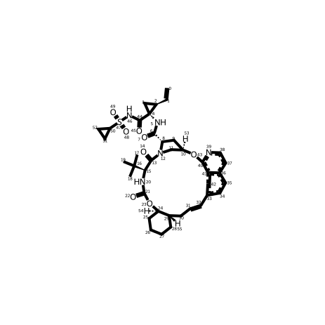 C=C[C@@H]1C[C@]1(NC(=O)[C@@H]1C[C@@H]2CN1C(=O)[C@H](C(C)(C)C)NC(=O)O[C@@H]1CCCC[C@H]1C/C=C/c1ccc3ccnc(c3c1)O2)C(=O)NS(=O)(=O)C1CC1